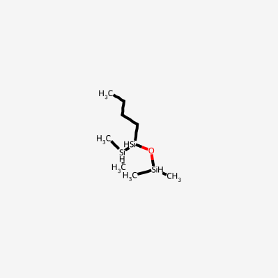 CCCC[SiH](O[SiH](C)C)[SiH](C)C